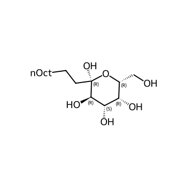 CCCCCCCCCC[C@@]1(O)O[C@H](CO)[C@H](O)[C@H](O)[C@H]1O